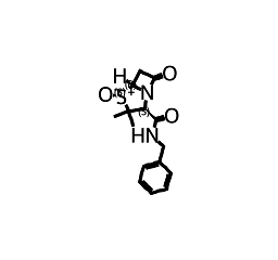 CC1(C)[C@H](C(=O)NCc2ccccc2)N2C(=O)C[C@H]2[S@+]1[O-]